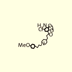 COc1ccc(CCCN2CCC(CCC(=O)c3cc(Cl)c(N)c4c3OCCO4)CC2)cc1